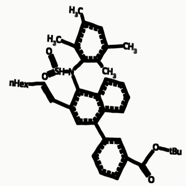 CCCCCCC=Cc1cc(-c2cccc(C(=O)OC(C)(C)C)c2)c2ccccc2c1N(c1c(C)c(C)cc(C)c1C)[SH](=O)=O